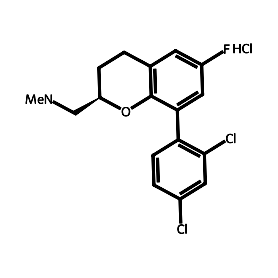 CNC[C@H]1CCc2cc(F)cc(-c3ccc(Cl)cc3Cl)c2O1.Cl